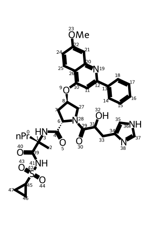 CCC[C@](C)(NC(=O)[C@@H]1C[C@@H](Oc2cc(-c3ccccc3)nc3cc(OC)ccc23)CN1C(=O)C(O)Cc1c[nH]cn1)C(=O)NS(=O)(=O)C1CC1